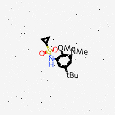 CNc1cc(C(C)(C)C)cc(NS(=O)(=O)C2CC2)c1OC